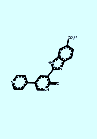 O=C(O)c1ccc2nc(-c3cc(-c4ccncc4)c[nH]c3=O)[nH]c2c1